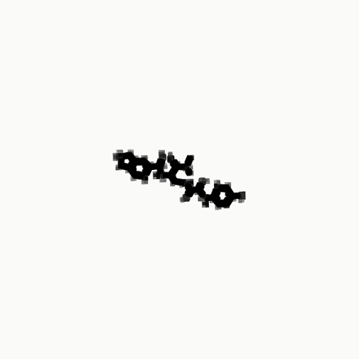 CN(C)C(=O)C(CNC(=O)C(=O)Nc1ccc(Cl)cn1)NC(=O)c1cc2c(cn1)CNC2